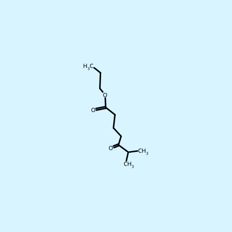 CCCOC(=O)CCCC(=O)C(C)C